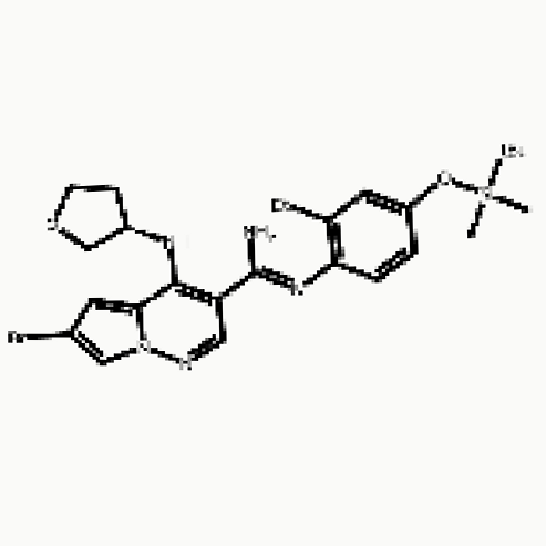 CCc1cc(O[Si](C)(C)C(C)(C)C)ccc1/N=C(\N)c1cnn2cc(Br)cc2c1N[C@@H]1CCOC1